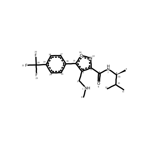 CNCc1c(C(=O)N[C@@H](C)C(C)C)noc1-c1ccc(C(F)(F)F)cc1